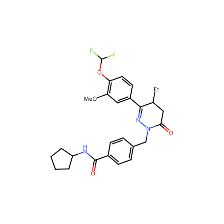 CCC1CC(=O)N(Cc2ccc(C(=O)NC3CCCC3)cc2)N=C1c1ccc(OC(F)F)c(OC)c1